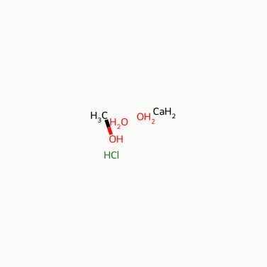 CO.Cl.O.O.[CaH2]